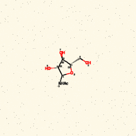 CC(=O)NC1O[C@@H](CO)[C@H](O)[C@H]1O